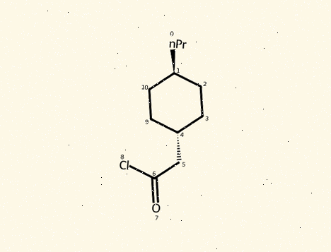 CCC[C@H]1CC[C@H](CC(=O)Cl)CC1